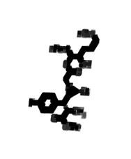 CCCCCCCC/C=C\CC(O)C(CCCCC)OC(=O)C[N@]1C([C@@H](c2ccc(F)cc2)C(C)C(=O)OC)[C@H]1CC